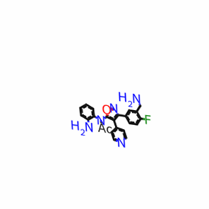 CC(=O)N(c1ccccc1N)c1onc(-c2ccc(F)c(CN)c2)c1-c1ccncc1